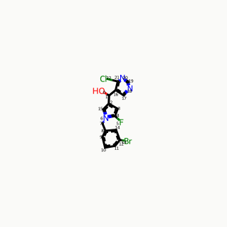 OC(c1cc(F)n(Cc2cccc(Br)c2)c1)c1cncnc1Cl